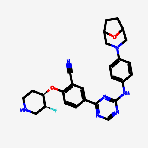 N#Cc1cc(-c2ncnc(Nc3ccc(N4CC5CCC(C4)O5)cc3)n2)ccc1O[C@H]1CCNC[C@H]1F